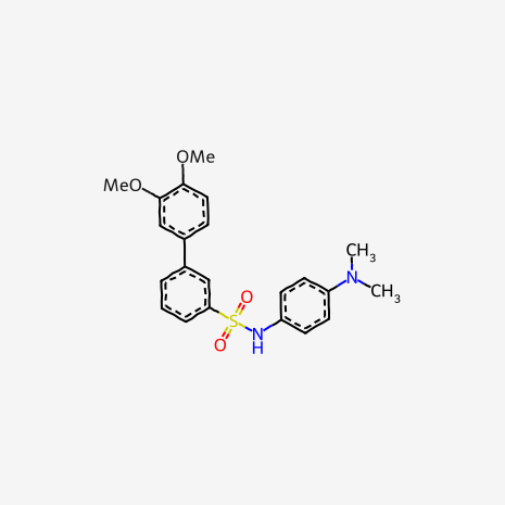 COc1ccc(-c2cccc(S(=O)(=O)Nc3ccc(N(C)C)cc3)c2)cc1OC